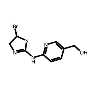 OCc1ccc(NC2=NCC(Br)S2)nc1